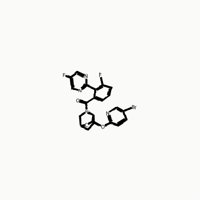 O=C(c1cccc(F)c1-c1ncc(F)cn1)N1CC2CCC1C(Oc1ccc(Br)cn1)C2